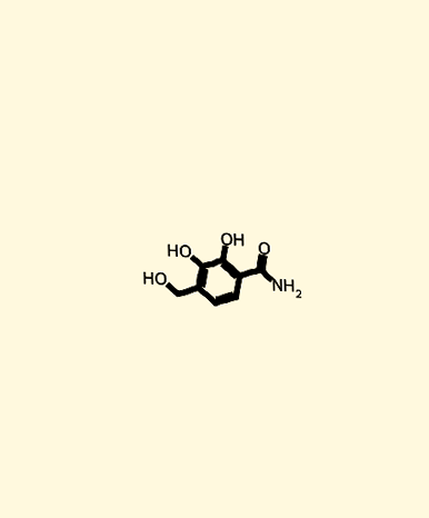 NC(=O)c1ccc(CO)c(O)c1O